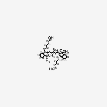 CC1(C)\C(=C/C=C(Br)/C=C/C2N(CCCCCCO)c3ccccc3C2(C)C)N(CCCCCCO)c2ccccc21